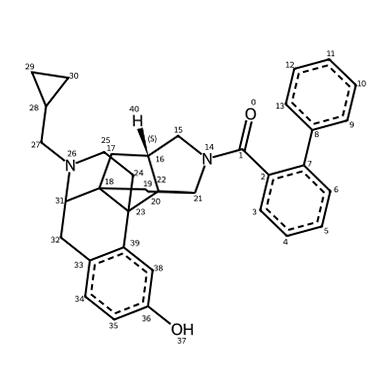 O=C(c1ccccc1-c1ccccc1)N1C[C@H]2CC34CCC1C2C31CCN(CC2CC2)C4Cc2ccc(O)cc21